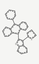 c1ccc(-c2c3ccccc3c(-c3oc4ccccc4c3-c3cccs3)c3ccccc23)cc1